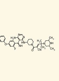 CC1CN(C(C)(C)/C=C(\C#N)C(=O)N2CCCC(Nc3ncnc(N)c3C(=N)c3ccc(Oc4ccccc4)cc3F)C2)CC(C)N1